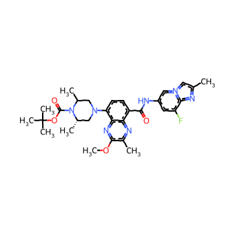 COc1nc2c(N3CC(C)N(C(=O)OC(C)(C)C)[C@@H](C)C3)ccc(C(=O)Nc3cc(F)c4nc(C)cn4c3)c2nc1C